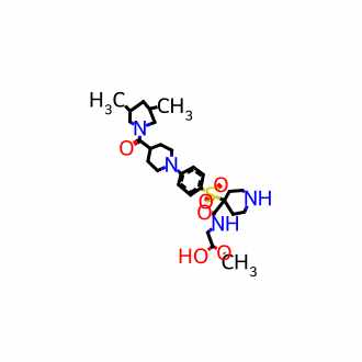 COC(O)CNC(=O)C1(S(=O)(=O)c2ccc(N3CCC(C(=O)N4CC(C)CC(C)C4)CC3)cc2)CCNCC1